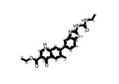 CCNC(=O)Nc1nc2cc(-c3cc4[nH]cc(C(=O)OCC)c(=O)c4cc3C)ccc2s1